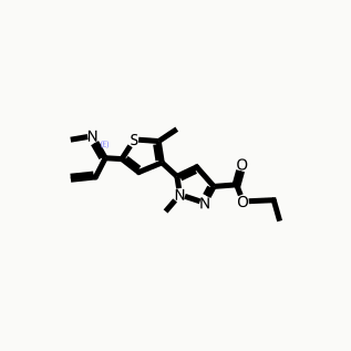 C=C/C(=N\C)c1cc(-c2cc(C(=O)OCC)nn2C)c(C)s1